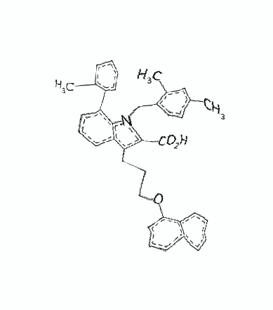 Cc1ccc(Cn2c(C(=O)O)c(CCCOc3cccc4ccccc34)c3cccc(-c4ccccc4C)c32)c(C)c1